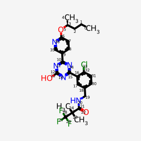 CCC[C@H](C)Oc1ccc(-c2nc(O)nc(-c3cc(CNC(=O)C(C)(C)C(F)(F)F)ccc3Cl)n2)cn1